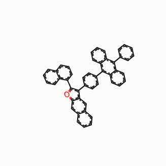 c1ccc(-c2c3ccccc3c(-c3ccc(-c4c(-c5cccc6ccccc56)oc5cc6ccccc6cc45)cc3)c3ccccc23)cc1